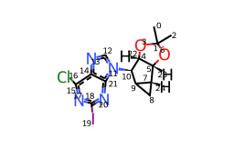 CC1(C)O[C@@H]2[C@H](O1)[C@@H]1CC1[C@H]2n1cnc2c(Cl)nc(I)nc21